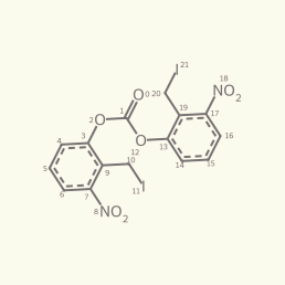 O=C(Oc1cccc([N+](=O)[O-])c1CI)Oc1cccc([N+](=O)[O-])c1CI